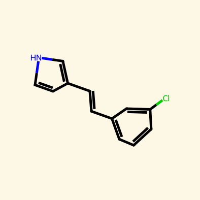 Clc1cccc(/C=C/c2cc[nH]c2)c1